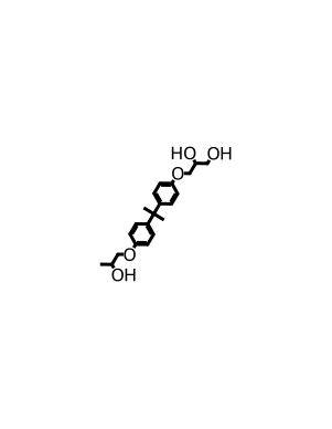 CC(O)COc1ccc(C(C)(C)c2ccc(OCC(O)CO)cc2)cc1